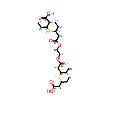 CCC(CC(=O)O)SC(CC)CC(=O)OCCOC(=O)CC(CC)SC(CC)CC(=O)O